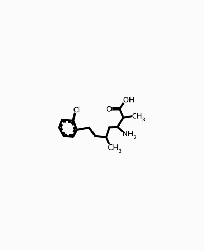 CC(CCc1ccccc1Cl)CC(N)C(C)C(=O)O